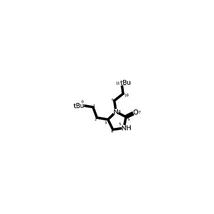 CC(C)(C)CCC1CNC(=O)N1CCC(C)(C)C